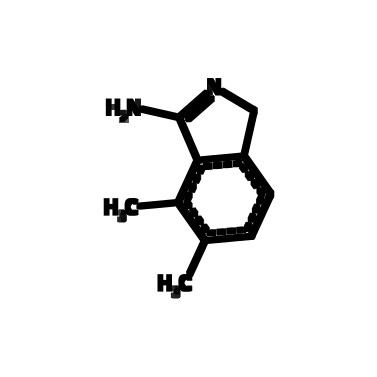 Cc1ccc2c(c1C)C(N)=NC2